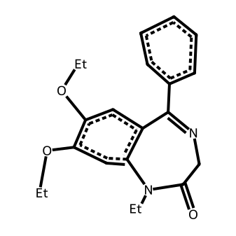 CCOc1cc2c(cc1OCC)N(CC)C(=O)CN=C2c1ccccc1